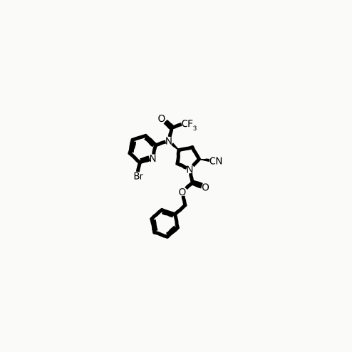 N#C[C@@H]1C[C@H](N(C(=O)C(F)(F)F)c2cccc(Br)n2)CN1C(=O)OCc1ccccc1